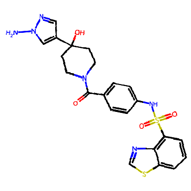 Nn1cc(C2(O)CCN(C(=O)c3ccc(NS(=O)(=O)c4cccc5scnc45)cc3)CC2)cn1